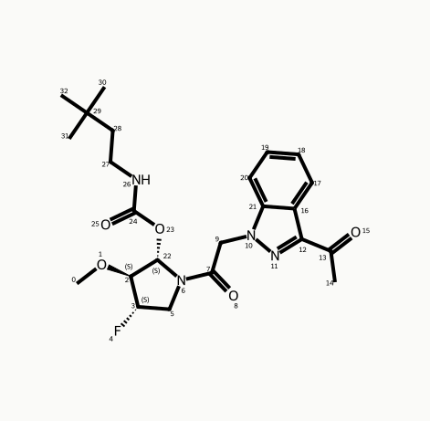 CO[C@@H]1[C@@H](F)CN(C(=O)Cn2nc(C(C)=O)c3ccccc32)[C@H]1OC(=O)NCCC(C)(C)C